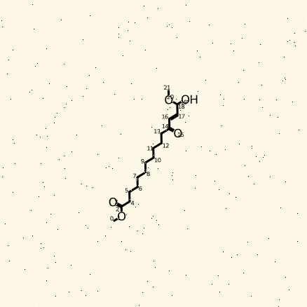 COC(=O)CCCCCCCCCCC(=O)/C=C/C(O)OC